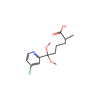 COC(CCCC(C)C(=O)O)(OC)c1cc(Cl)ccn1